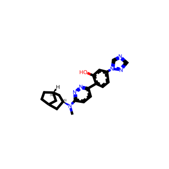 CN(c1ccc(-c2ccc(-n3cncn3)cc2O)nn1)[C@H]1CC2CC[C@@H](C2)C1